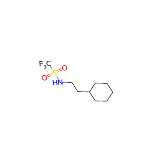 O=S(=O)(NCCC1CCCCC1)C(F)(F)F